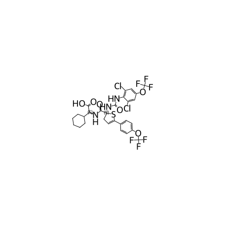 O=C(Nc1c(Cl)cc(OC(F)(F)F)cc1Cl)N[C@@]1(C(=O)N[C@H](C(=O)O)C2CCCCC2)CC=C(c2ccc(OC(F)(F)F)cc2)S1